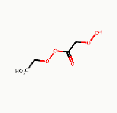 O=C(O)COOC(=O)COO